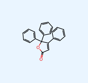 O=C1C=C(c2ccccc2)C(c2ccccc2)(c2ccccc2)O1